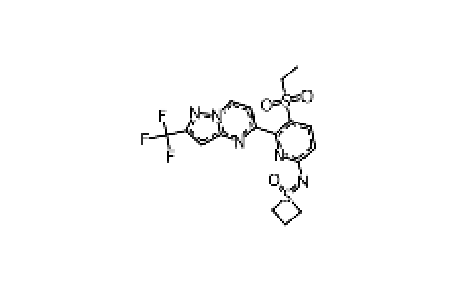 CCS(=O)(=O)c1ccc(N=S2(=O)CCC2)nc1-c1ccn2nc(C(F)(F)F)cc2n1